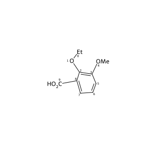 CCOc1c(OC)cccc1C(=O)O